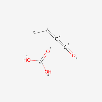 CC=C=C=O.O=C(O)O